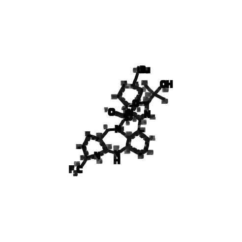 CC(C)(C)c1ccc(S(=O)(=O)N2Cc3ccc(C(F)(F)F)nc3Nc3cccc(-c4noc(C(C)(C)O)n4)c32)cc1